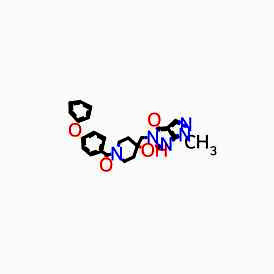 Cn1ncc2c(=O)n(CC3(O)CCN(C(=O)c4ccc(Oc5ccccc5)cc4)CC3)cnc21